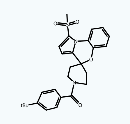 CC(C)(C)c1ccc(C(=O)N2CCC3(CC2)Oc2ccccc2-n2c3ccc2S(C)(=O)=O)cc1